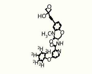 [2H]c1c([2H])c([2H])c(Oc2ccnc(C(=O)N[C@H]3COc4ccc(C#CC5(O)COC5)cc4N(C)C3=O)c2)c([2H])c1[2H]